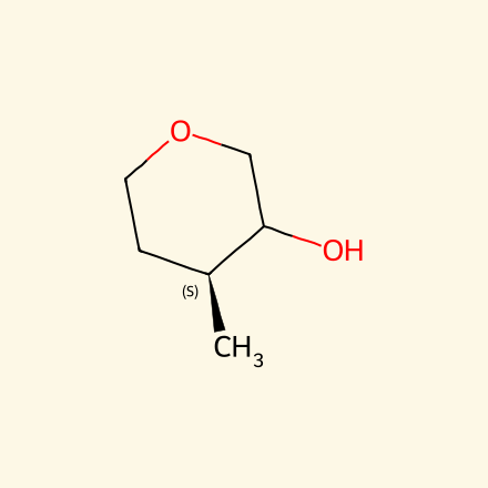 C[C@H]1CCOCC1O